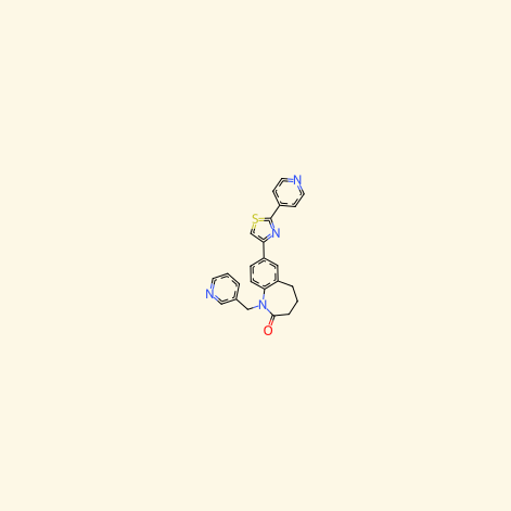 O=C1CCCc2cc(-c3csc(-c4ccncc4)n3)ccc2N1Cc1cccnc1